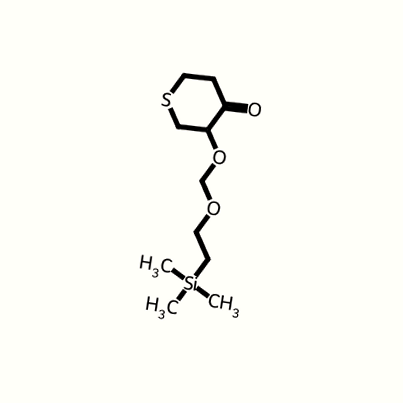 C[Si](C)(C)CCOCOC1CSCCC1=O